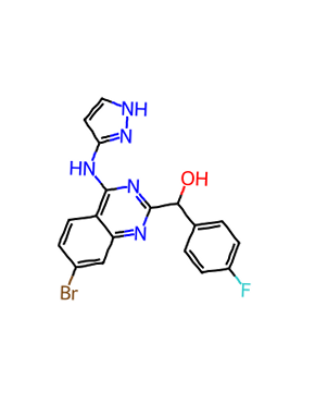 OC(c1ccc(F)cc1)c1nc(Nc2cc[nH]n2)c2ccc(Br)cc2n1